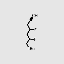 C#CCC(F)CC(F)CC(C)(C)C